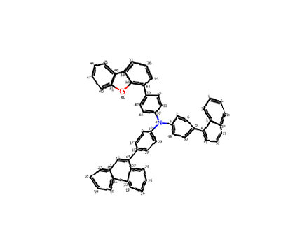 c1ccc2c(-c3ccc(N(c4ccc(-c5cc6ccccc6c6ccccc56)cc4)c4ccc(-c5cccc6c5oc5ccccc56)cc4)cc3)cccc2c1